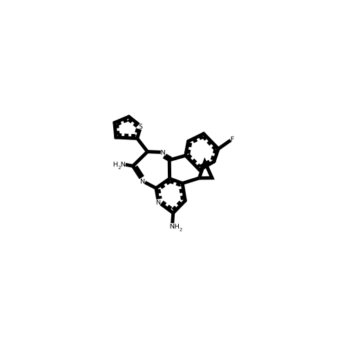 NC1=Nc2nc(N)cc(C3CC3)c2C(c2ccc(F)cc2)=NC1c1cccs1